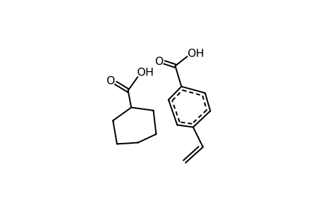 C=Cc1ccc(C(=O)O)cc1.O=C(O)C1CCCCC1